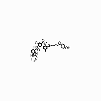 COc1cc(C(=O)N(C)c2ccc(C)cc2OCCCCCC(=O)N2CCC(O)CC2)ccc1NC(=O)c1cccc2[nH]c(CN)nc12